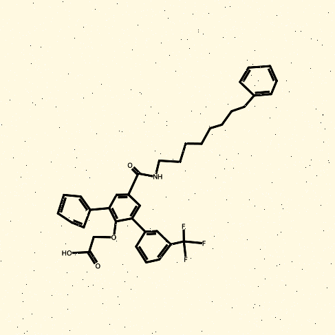 O=C(O)COc1c(-c2ccccc2)cc(C(=O)NCCCCCCCCc2ccccc2)cc1-c1cccc(C(F)(F)F)c1